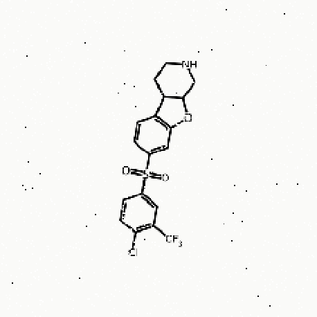 O=S(=O)(c1ccc2c(c1)OC1CNCCC21)c1ccc(Cl)c(C(F)(F)F)c1